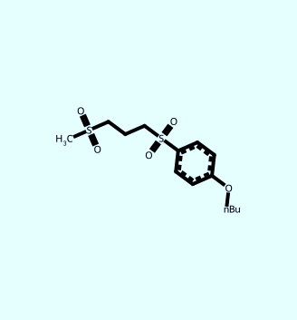 CCCCOc1ccc(S(=O)(=O)CCCS(C)(=O)=O)cc1